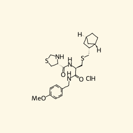 COc1ccc(CNC(=O)[C@H](CSC[C@@H]2C[C@H]3CC[C@H]2C3)NC(=O)[C@@H]2CSCN2)cc1.Cl